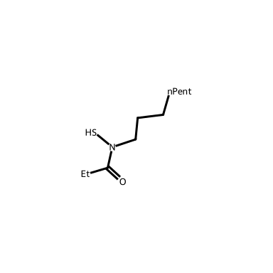 CCCCCCCCN(S)C(=O)CC